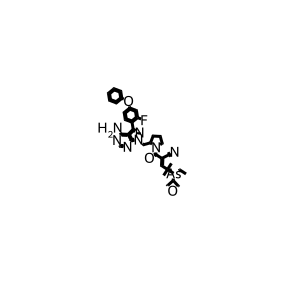 CC[As](C1COC1)C(C)(C)C=C(C#N)C(=O)N1CCCC1Cn1nc(-c2ccc(Oc3ccccc3)cc2F)c2c(N)ncnc21